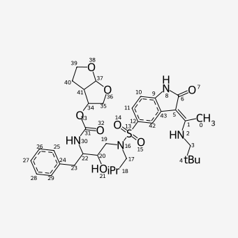 C/C(NCC(C)(C)C)=C1\C(=O)Nc2ccc(S(=O)(=O)N(CC(C)C)CC(O)C(Cc3ccccc3)NC(=O)OC3COC4OCCC34)cc21